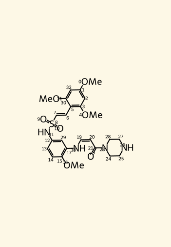 COc1cc(OC)c(/C=C/S(=O)(=O)Nc2ccc(OC)c(N/C=C\C(=O)N3CCNCC3)c2)c(OC)c1